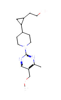 CCOCc1cnc(N2CCC(C3CC3CCO)CC2)nc1C